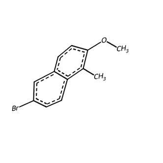 COc1ccc2cc(Br)ccc2c1C